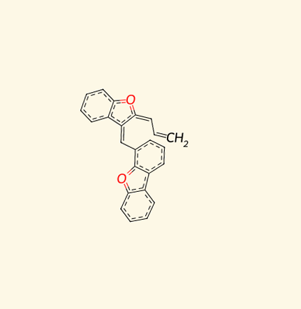 C=C/C=c1/oc2ccccc2/c1=C/c1cccc2c1oc1ccccc12